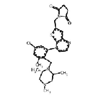 Cc1cc(Cl)cc(-c2ccnc3cc(CN4C(=O)CCC4=O)sc23)c1CN1[C@@H](C)CN(C)C[C@@H]1C